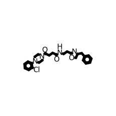 O=C(CCC(=O)N1CCN(c2ccccc2Cl)CC1)NCCC1=NC(Cc2ccccc2)CO1